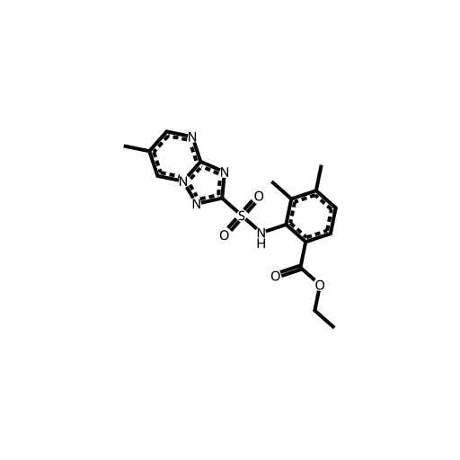 CCOC(=O)c1ccc(C)c(C)c1NS(=O)(=O)c1nc2ncc(C)cn2n1